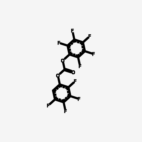 O=C(Oc1cc(F)c(F)c(F)c1F)Oc1c(F)c(F)c(F)c(F)c1F